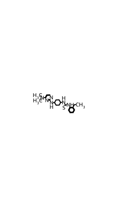 CCc1ccccc1NC(=S)NC1CCC(Nc2nccc(N(C)C)n2)CC1